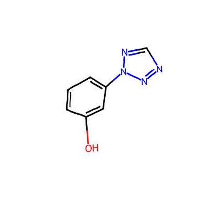 Oc1cccc(-n2ncnn2)c1